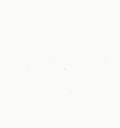 CN1N=C2CCN(C(=O)C(COc3cncc(F)c3)NC(=O)C(C)(C)NC(=O)O)CC2(Cc2ccccc2)C1=O